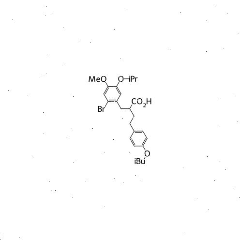 CCC(C)Oc1ccc(CCC(Cc2cc(OC(C)C)c(OC)cc2Br)C(=O)O)cc1